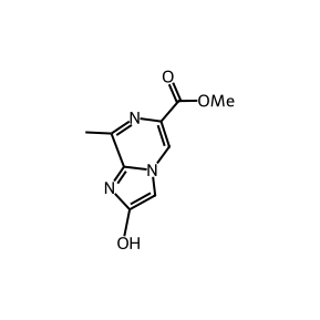 COC(=O)c1cn2cc(O)nc2c(C)n1